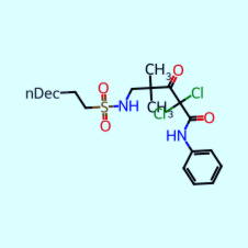 CCCCCCCCCCCCS(=O)(=O)NCC(C)(C)C(=O)C(Cl)(Cl)C(=O)Nc1ccccc1